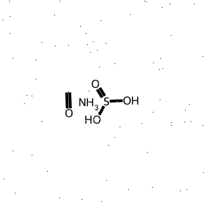 C=O.N.O=S(O)O